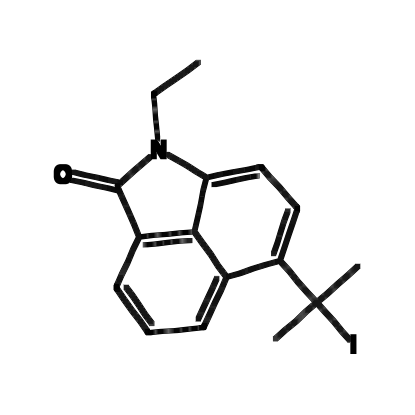 CCN1C(=O)c2cccc3c(C(C)(C)I)ccc1c23